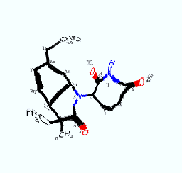 CC1(C)C(=O)N(C2CCC(=O)NC2=O)c2cc(CC=O)ccc21